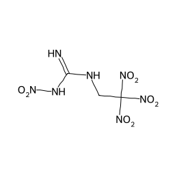 N=C(NCC([N+](=O)[O-])([N+](=O)[O-])[N+](=O)[O-])N[N+](=O)[O-]